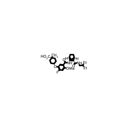 CCC(CC)CNC(=O)[C@H]1[C@@H]2CC[C@@H](C2)[C@H]1NC(=O)c1cc(O[C@H]2CC[C@@](C)(C(=O)O)CC2)c(F)cc1OC